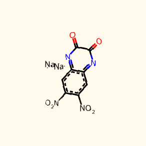 O=C1N=c2cc([N+](=O)[O-])c([N+](=O)[O-])cc2=NC1=O.[Na].[Na]